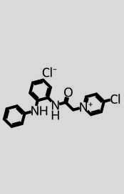 O=C(C[n+]1ccc(Cl)cc1)Nc1ccccc1Nc1ccccc1.[Cl-]